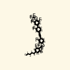 CCCCCc1cc(F)c(C(F)(F)OC2=CCC(C#CC3=CCC(c4cc(F)c(OC(F)(F)F)c(F)c4)C(F)=C3)C(F)=C2)c(F)c1